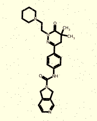 CC1(C)CC(c2ccc(NC(=O)N3Cc4ccncc4C3)cc2)=NN(CCN2CCCCC2)C1=O